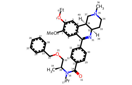 CCOc1cc2c(cc1OC)C(c1ccc(C(=O)N(C(C)C)[C@@H](C)COCc3ccccc3)cc1)=N[C@@H]1CCN(C)C[C@H]21